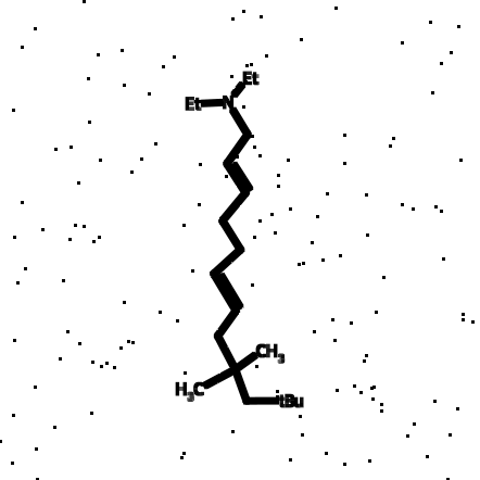 CCN(CC)CC=CCCC=CCC(C)(C)CC(C)(C)C